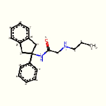 CCCNCC(=O)NC1(c2ccccc2)Cc2ccccc2C1